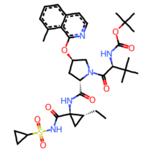 CC[C@@H]1C[C@]1(NC(=O)[C@@H]1C[C@@H](Oc2nccc3cccc(C)c23)CN1C(=O)[C@@H](NC(=O)OC(C)(C)C)C(C)(C)C)C(=O)NS(=O)(=O)C1CC1